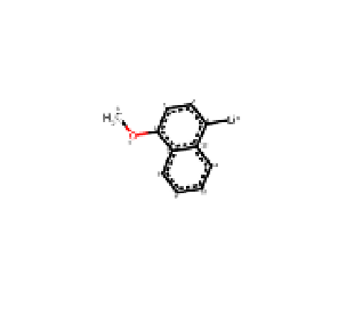 [Li][c]1ccc(OC)c2ccccc12